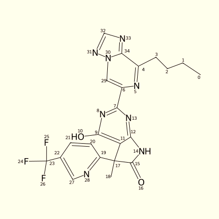 CCCCc1nc(-c2nc(O)c3c(n2)NC(=O)C3(C)c2ccc(C(F)(F)F)cn2)cn2ncnc12